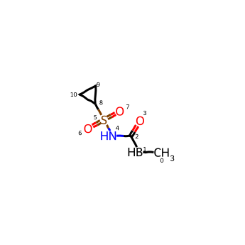 CBC(=O)NS(=O)(=O)C1CC1